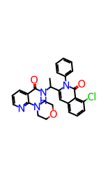 CC(NC(=O)c1cccnc1N1CCOCC1)c1cc2cccc(Cl)c2c(=O)n1-c1ccccc1